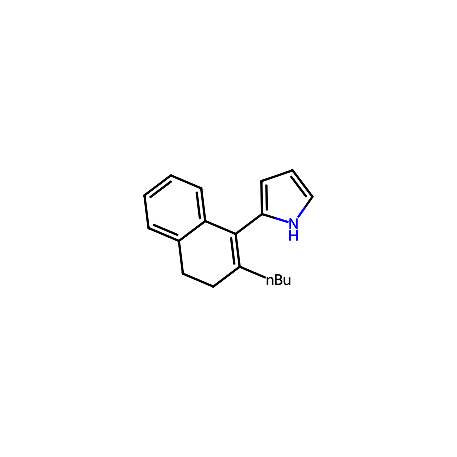 CCCCC1=C(c2ccc[nH]2)c2ccccc2CC1